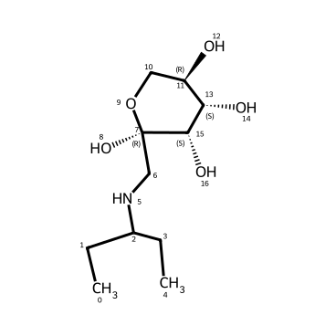 CCC(CC)NC[C@@]1(O)OC[C@@H](O)[C@H](O)[C@@H]1O